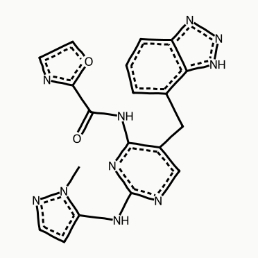 Cn1nccc1Nc1ncc(Cc2cccc3nn[nH]c23)c(NC(=O)c2ncco2)n1